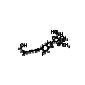 CC(CCn1cc2cc(C#CC#C[C@H]3C[C@@H]3CO)c(F)cc2n1)(C(=O)NO)S(C)(=O)=O